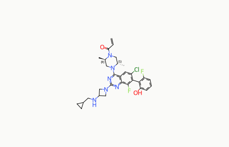 C=CC(=O)N1C[C@H](C)N(c2nc(N3CC(NCC4CC4)C3)nc3c(F)c(-c4c(O)cccc4F)c(Cl)cc23)C[C@H]1C